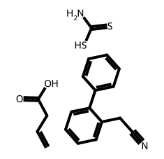 C=CCC(=O)O.N#CCc1ccccc1-c1ccccc1.NC(=S)S